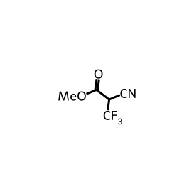 COC(=O)C(C#N)C(F)(F)F